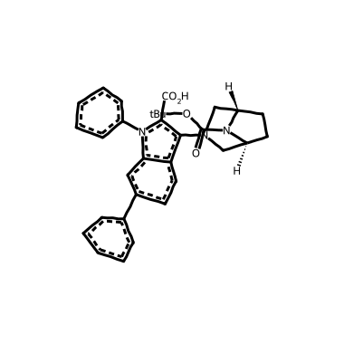 CC(C)(C)OC(=O)N1[C@H]2CC[C@H]1CN(c1c(C(=O)O)n(-c3ccccc3)c3cc(-c4ccccc4)ccc13)C2